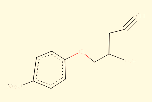 C#CCC(COc1ccc(OC)cc1)OC(C)=O